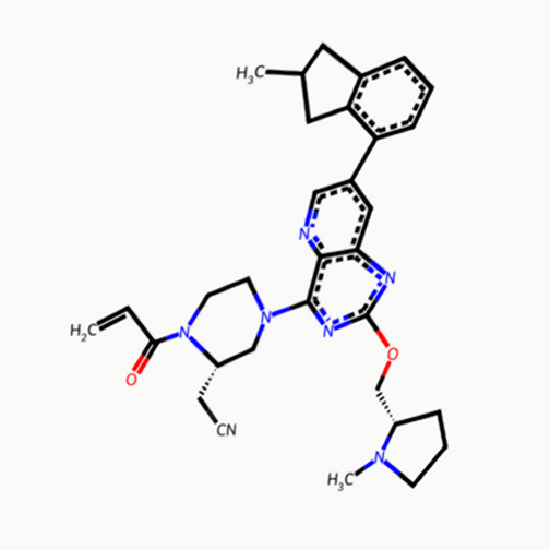 C=CC(=O)N1CCN(c2nc(OC[C@@H]3CCCN3C)nc3cc(-c4cccc5c4CC(C)C5)cnc23)C[C@@H]1CC#N